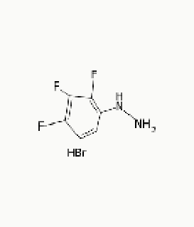 Br.NNc1ccc(F)c(F)c1F